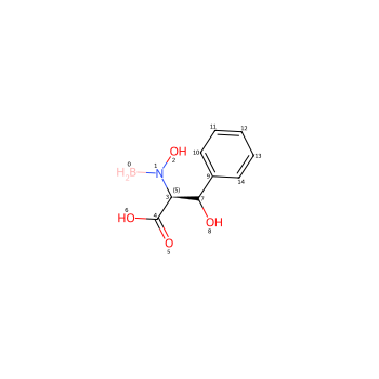 BN(O)[C@H](C(=O)O)C(O)c1ccccc1